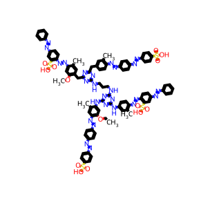 CCOc1cc(Nc2nc(NCCCNc3nc(Cc4ccc(N=Nc5ccc(N=Nc6ccc(S(=O)(=O)O)cc6)cc5)c(C)c4)nc(Cc4cc(C)c(N=Nc5ccc(N=Nc6ccccc6)cc5S(=O)(=O)O)cc4OC)n3)nc(Nc3ccc(N=Nc4ccc(N=Nc5ccccc5)cc4S(=O)(=O)O)c(C)c3)n2)c(C)cc1N=Nc1ccc(N=Nc2ccc(S(=O)(=O)O)cc2)cc1